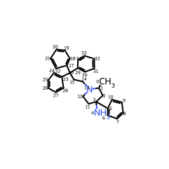 CC1CC(N)(c2ccccc2)CCN1CCC(c1ccccc1)(c1ccccc1)c1ccccc1